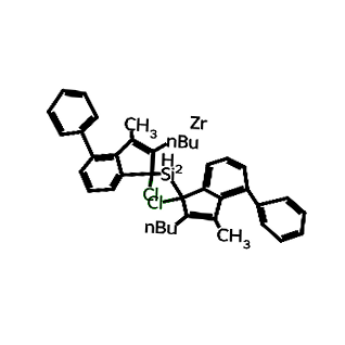 CCCCC1=C(C)c2c(-c3ccccc3)cccc2C1(Cl)[SiH2]C1(Cl)C(CCCC)=C(C)c2c(-c3ccccc3)cccc21.[Zr]